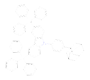 c1ccc([Si](c2ccccc2)(c2ccccc2)c2ccc3c(c2)c2cc([Si](c4ccccc4)(c4ccccc4)c4ccccc4)ccc2n3-c2ccc(C34CC5CC(CC(C5)C3)C4)cc2)cc1